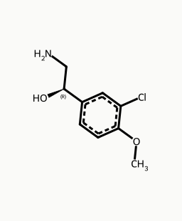 COc1ccc([C@@H](O)CN)cc1Cl